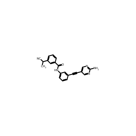 CC(C#N)c1cccc(C(=O)Nc2cccc(C#Cc3cnc(N)nc3)c2)c1